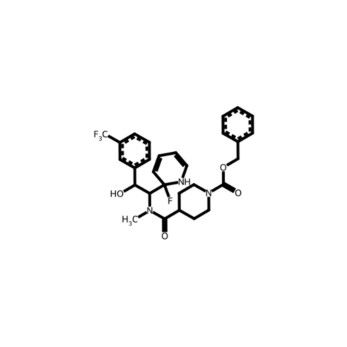 CN(C(=O)C1CCN(C(=O)OCc2ccccc2)CC1)C(C(O)c1cccc(C(F)(F)F)c1)C1(F)C=CC=CN1